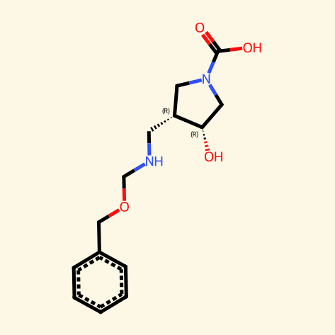 O=C(O)N1C[C@@H](CNCOCc2ccccc2)[C@@H](O)C1